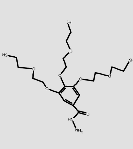 NNC(=O)c1cc(OCCOCCS)c(OCCOCCS)c(OCCOCCS)c1